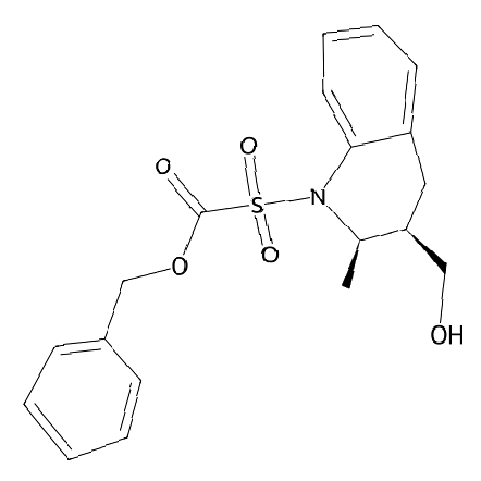 C[C@@H]1[C@H](CO)Cc2ccccc2N1S(=O)(=O)C(=O)OCc1ccccc1